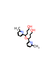 Cc1cccc(C(CCCO)OC(CCCO)c2cccc(C)n2)n1